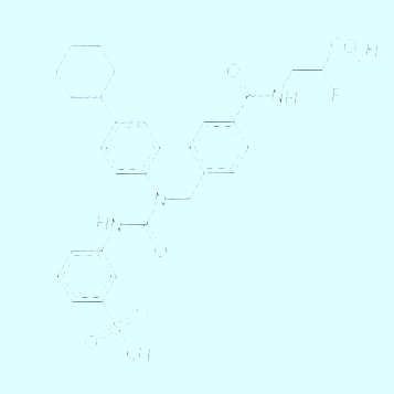 CS(=O)(=O)c1cccc(NC(=O)N(Cc2ccc(C(=O)NCC(F)C(=O)O)cc2)c2ccc(C3CCCCC3)cc2)c1